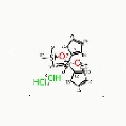 Cl.Cl.[CH2]=[Zr]([CH3])([O]CC)([O][Si](C)(C)C)([C]1=CC=CC1)[C]1=CC=CC1